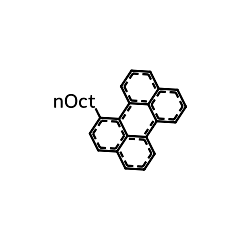 CCCCCCCCc1ccc2cccc3c4cccc5cccc(c1c23)c54